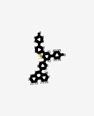 Cc1ccc(-c2ccc3sc4c(-c5ccc(-c6cc7ccccc7c7ccccc67)cc5)cc(-c5ccc(C)cc5)cc4c3c2)cc1